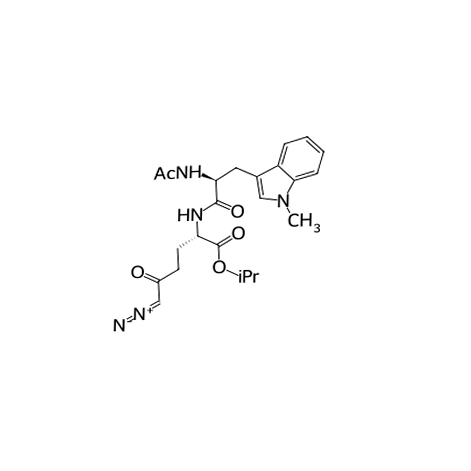 CC(=O)N[C@@H](Cc1cn(C)c2ccccc12)C(=O)N[C@@H](CCC(=O)C=[N+]=[N-])C(=O)OC(C)C